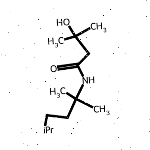 CC(C)CCC(C)(C)NC(=O)CC(C)(C)O